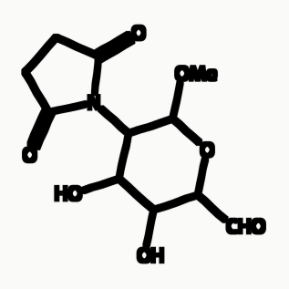 COC1OC(C=O)C(O)C(O)C1N1C(=O)CCC1=O